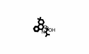 CC(C)C(/N=C1\C(=O)C2=C(CC(C)(C)CC2)c2ccccc21)C(=O)O